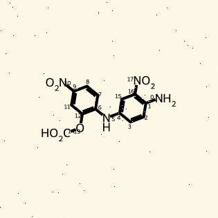 Nc1ccc(Nc2ccc([N+](=O)[O-])cc2OC(=O)O)cc1[N+](=O)[O-]